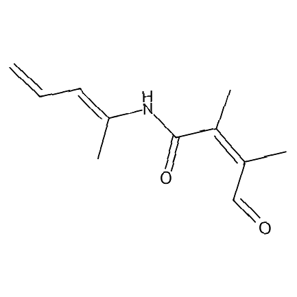 C=C/C=C(\C)NC(=O)/C(C)=C(/C)C=O